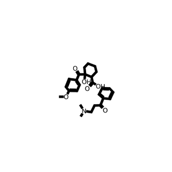 CN(C)CCC(=O)c1ccccc1.COc1ccc(C(=O)C2(O)CCCCC2C(=O)O)cc1